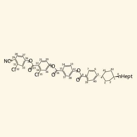 CCCCCCC[C@H]1CC[C@H](c2ccc(C(=O)Oc3ccc(C(=O)Oc4ccc(C(=O)Oc5ccc(C#N)c(Cl)c5)c(Cl)c4)cc3)cc2)CC1